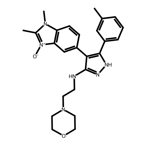 Cc1cccc(-c2[nH]nc(NCCN3CCOCC3)c2-c2ccc3c(c2)[n+]([O-])c(C)n3C)c1